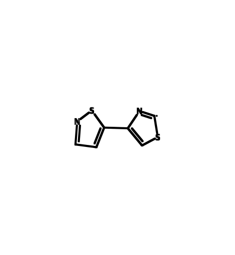 [c]1nc(-c2ccns2)cs1